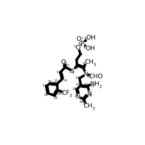 C/C(=C(\CCOP(=O)(O)O)SC(=O)/C=C/c1ccccc1C(F)(F)F)N(C=O)Cc1cnc(C)nc1N